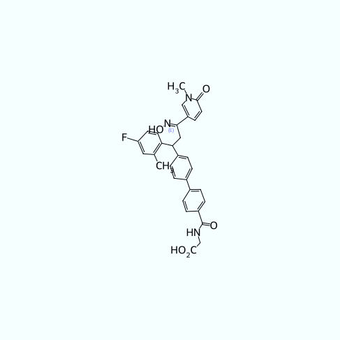 Cc1cc(F)ccc1C(C/C(=N\O)c1ccc(=O)n(C)c1)c1ccc(-c2ccc(C(=O)NCC(=O)O)cc2)cc1